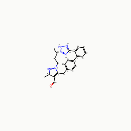 CCCCN1NC(C)C(C=O)=C1Cc1ccc(-c2ccccc2-c2nn[nH]n2)cc1